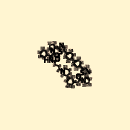 O=C(CCCN1CCCCC1)N[C@@H](C(=O)N1CCC[C@H]1c1ncc(-c2ccc(-c3ccc(-c4cnc([C@@H]5CCCN5C(=O)Cc5ccccc5)s4)cc3)cc2)s1)c1ccccc1